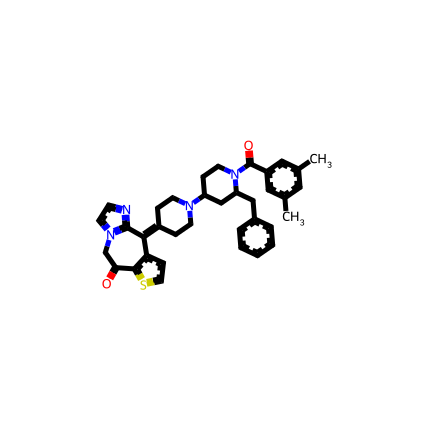 Cc1cc(C)cc(C(=O)N2CCC(N3CCC(=C4c5ccsc5C(=O)Cn5ccnc54)CC3)CC2Cc2ccccc2)c1